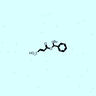 CCCCC(OC(=O)C=CC(=O)O)c1ccccc1